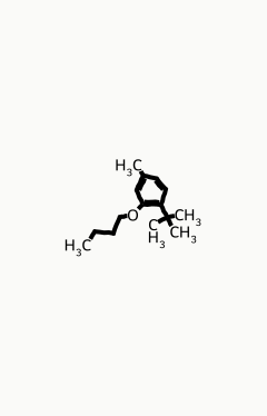 CCCCOc1cc(C)ccc1C(C)(C)C